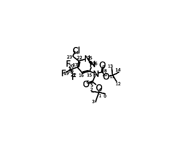 CC(C)(C)OC(=O)N(C(=O)OC(C)(C)C)c1cc(C(F)(F)F)c(CCl)nn1